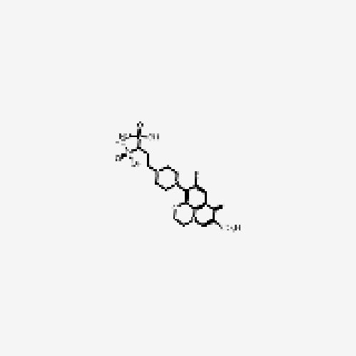 O=C(O)c1cn2c3c(c(N4CCN(CCC(P(=O)(O)O)P(=O)(O)O)CC4)c(F)cc3c1=O)OCC2